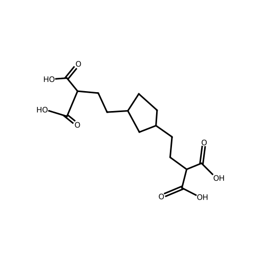 O=C(O)C(CCC1CCC(CCC(C(=O)O)C(=O)O)C1)C(=O)O